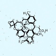 Cc1ccc([C@H](CC(=O)O)c2ccn3c(C(F)(F)F)nnc3c2C)cc1CN1CC2(COC2)Oc2ncccc2S1(=O)=O